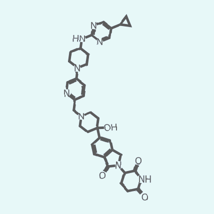 O=C1CCC(N2Cc3cc(C4(O)CCN(Cc5ccc(N6CCC(Nc7ncc(C8CC8)cn7)CC6)cn5)CC4)ccc3C2=O)C(=O)N1